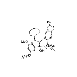 COc1cc(OC)nc(C(O)(CCN(C)C)C(CC2CCCCC2)c2cc3cc(Br)ccc3nc2OC)c1